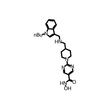 CCCCn1cc(CNCC2CCN(c3ncc(C(=O)NO)cn3)CC2)c2ccccc21